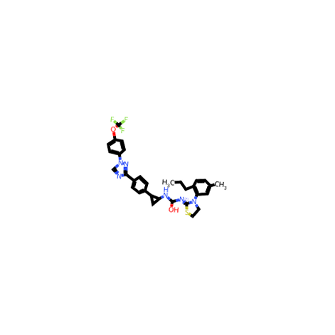 CCCc1ccc(C)cc1N1CCS/C1=N\C(O)NC1CC1c1ccc(-c2ncn(-c3ccc(OC(F)(F)F)cc3)n2)cc1